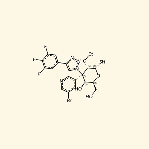 CCO[C@@H]1[C@H](S)O[C@@H](CO)[C@@H](O)[C@@]1(c1cncc(Br)c1)n1cc(-c2cc(F)c(F)c(F)c2)nn1